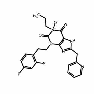 CCC[N+]1([O-])C(=O)c2[nH]c(Cc3ccccn3)nc2N(CCc2ccc(F)cc2F)C1=O